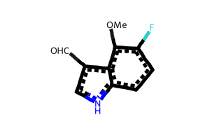 COc1c(F)ccc2[nH]cc(C=O)c12